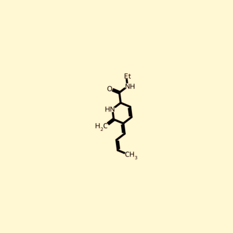 C=C1NC(C(=O)NCC)C=C/C1=C/C=C\C